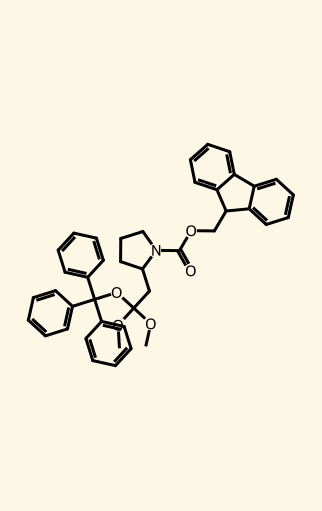 COC(CC1CCCN1C(=O)OCC1c2ccccc2-c2ccccc21)(OC)OC(c1ccccc1)(c1ccccc1)c1ccccc1